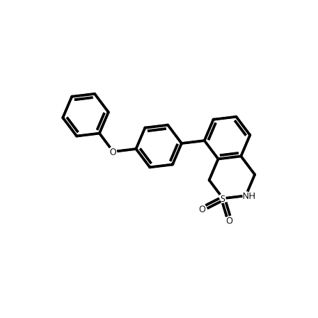 O=S1(=O)Cc2c(cccc2-c2ccc(Oc3ccccc3)cc2)CN1